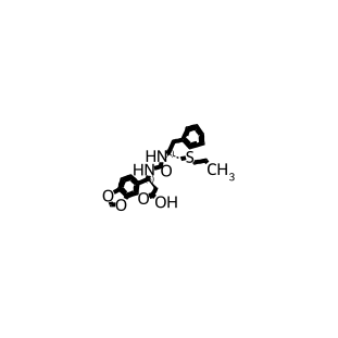 CCCSC[C@@H](Cc1ccccc1)NC(=O)N[C@@H](CC(=O)O)c1ccc2c(c1)OCO2